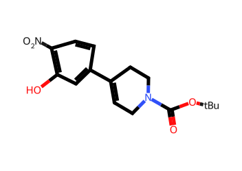 CC(C)(C)OC(=O)N1CC=C(c2ccc([N+](=O)[O-])c(O)c2)CC1